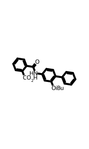 CC(C)COc1cc(NC(=O)c2ccccc2C(=O)O)ccc1-c1ccccc1